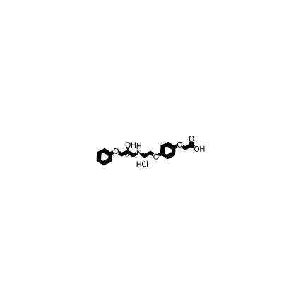 Cl.O=C(O)COc1ccc(OCCNC[C@H](O)COc2ccccc2)cc1